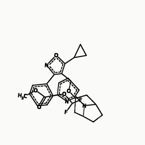 COC(=O)c1cccc(N2C3CCC2CC(OCc2c(-c4ccccc4OC(F)F)noc2C2CC2)C3)n1